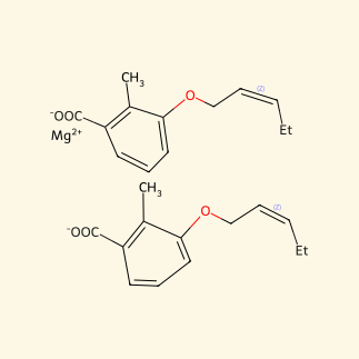 CC/C=C\COc1cccc(C(=O)[O-])c1C.CC/C=C\COc1cccc(C(=O)[O-])c1C.[Mg+2]